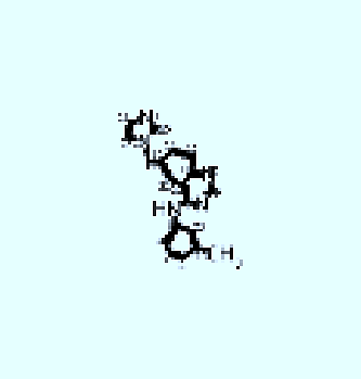 Cc1cccc(Nc2ncnc3ccc(Cn4ccnc4)cc23)c1